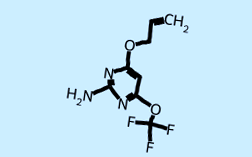 C=CCOc1cc(OC(F)(F)F)nc(N)n1